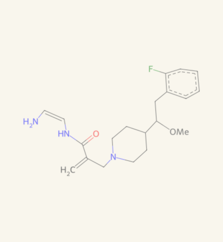 C=C(CN1CCC(C(Cc2ccccc2F)OC)CC1)C(=O)N/C=C\N